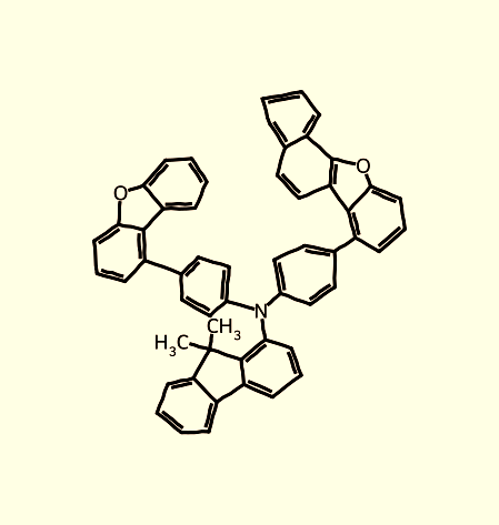 CC1(C)c2ccccc2-c2cccc(N(c3ccc(-c4cccc5oc6ccccc6c45)cc3)c3ccc(-c4cccc5oc6c7ccccc7ccc6c45)cc3)c21